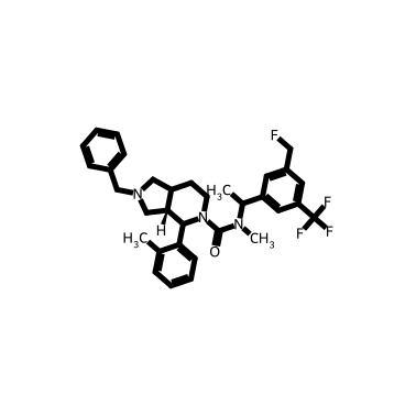 Cc1ccccc1C1[C@@H]2CN(Cc3ccccc3)CC2CCN1C(=O)N(C)C(C)c1cc(CF)cc(C(F)(F)F)c1